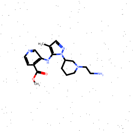 COC(=O)c1ccncc1Nc1c(C)cnn1C1CCCN(CCN)C1